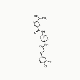 CC(O)c1ncc(C(=O)NC23CCC(NC(=O)COc4ccc(Cl)c(F)c4)(CC2)CC3)s1